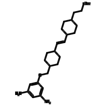 CCCCCCCCCCCCC1CCC(/C=C/C2CCC(COc3cc(N)cc(N)c3)CC2)CC1